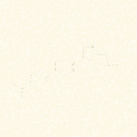 Cn1c(-c2ccc(-c3ccc(C(=N)N)cc3)cc2)cn(CCC(=O)O)c1=S